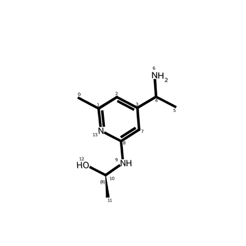 Cc1cc(C(C)N)cc(N[C@@H](C)O)n1